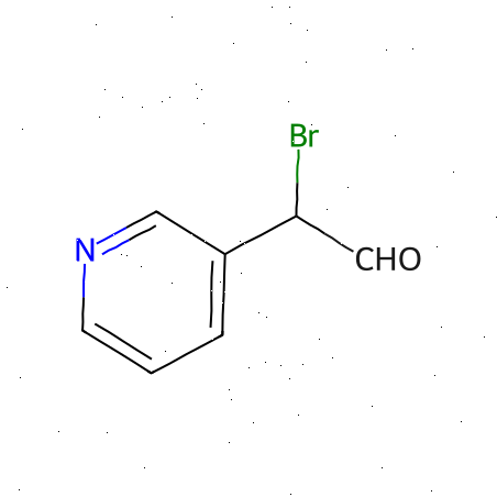 O=CC(Br)c1cccnc1